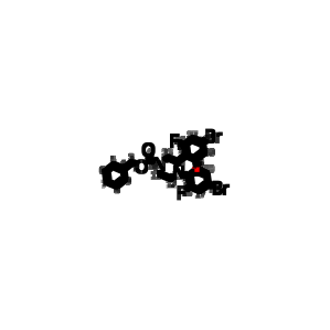 O=C(OCc1ccccc1)N1CCN(c2c(F)cc(Br)cc2F)C(c2c(F)cc(Br)cc2F)C1